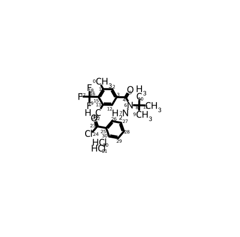 Cc1cc(C(=O)N(N)C(C)(C)C)cc(C)c1C(F)(F)F.Cl.Cl.O=C(Cl)c1ccccc1